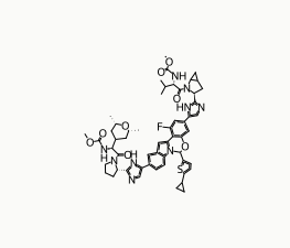 COC(=O)N[C@H](C(=O)N1C2CC2C[C@H]1c1ncc(-c2cc(F)c3c(c2)OC(c2ccc(C4CC4)s2)n2c-3cc3cc(-c4cnc([C@@H]5CCCN5C(=O)[C@@H](NC(=O)OC)C5C[C@@H](C)O[C@@H](C)C5)[nH]4)ccc32)[nH]1)C(C)C